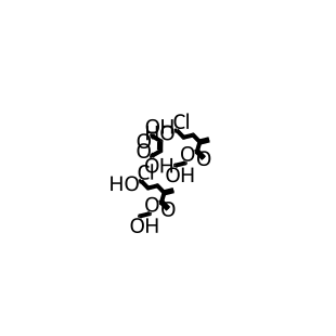 C=C(CCC(O)Cl)C(=O)OCCO.C=C(CCC(O)Cl)C(=O)OCCO.O=C(O)/C=C\C(=O)O